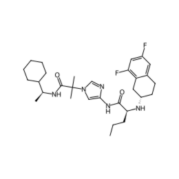 CCC[C@H](N[C@H]1CCc2cc(F)cc(F)c2C1)C(=O)Nc1cn(C(C)(C)C(=O)N[C@@H](C)C2CCCCC2)cn1